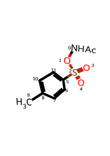 CC(=O)NOS(=O)(=O)c1ccc(C)cc1